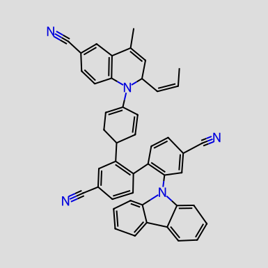 C/C=C\C1C=C(C)c2cc(C#N)ccc2N1C1=CCC(c2cc(C#N)ccc2-c2ccc(C#N)cc2-n2c3ccccc3c3ccccc32)C=C1